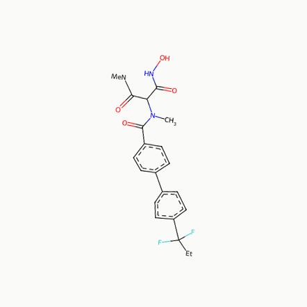 CCC(F)(F)c1ccc(-c2ccc(C(=O)N(C)C(C(=O)NC)C(=O)NO)cc2)cc1